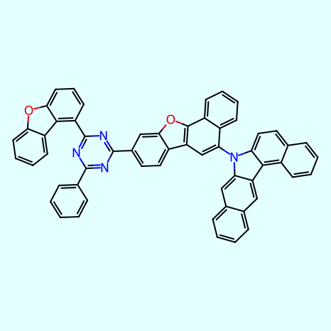 c1ccc(-c2nc(-c3ccc4c(c3)oc3c5ccccc5c(-n5c6cc7ccccc7cc6c6c7ccccc7ccc65)cc43)nc(-c3cccc4oc5ccccc5c34)n2)cc1